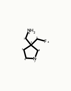 NCC1(CF)CC[N]C1